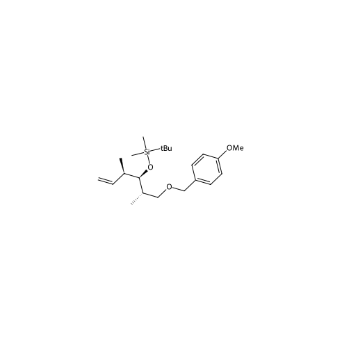 C=C[C@@H](C)[C@@H](O[Si](C)(C)C(C)(C)C)[C@@H](C)COCc1ccc(OC)cc1